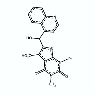 CC(C)n1c(=O)n(C)c(=O)c2c(C(=O)O)c(C(O)c3ccnc4ccccc34)sc21